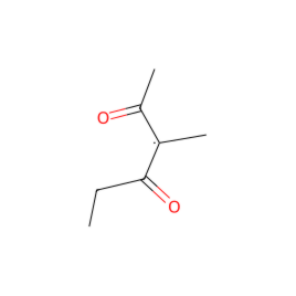 CCC(=O)[C](C)C(C)=O